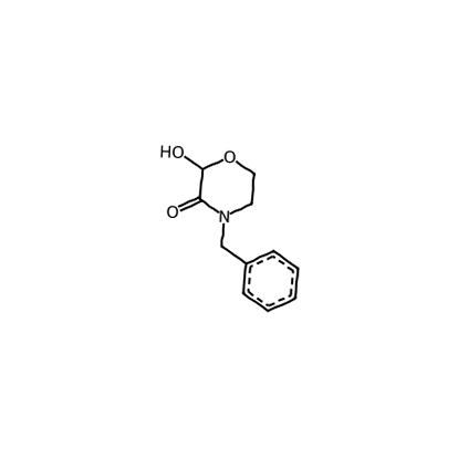 O=C1C(O)OCCN1Cc1ccccc1